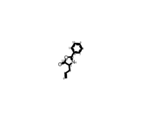 C=CCC1N=C(c2ccccc2)OC1=O